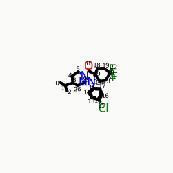 CC(C)C1CCN(C(=O)C2(Nc3ccc(Cl)cc3)CCC(F)(F)CC2)CC1